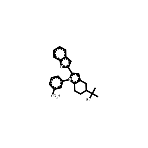 CCC(C)(C)C1CCc2c(cc(-c3cc4ccccc4o3)n2-c2cccc(C(=O)O)c2)C1